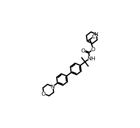 CC(C)(NC(=O)OC1CN2CCC1CC2)c1ccc(-c2ccc(N3CCOCC3)cc2)cc1